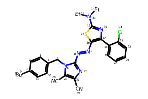 CCC(C)c1ccc(Cn2c(/N=N/c3sc(N(CC)CC)nc3-c3ccccc3Cl)nc(C#N)c2C#N)cc1